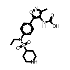 CCN(c1ccc(-c2onc(C)c2NC(=O)O)cc1)S(=O)(=O)C1CCNCC1